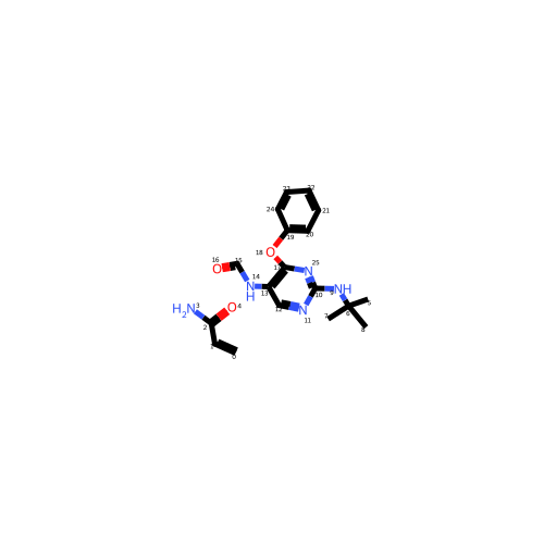 C=CC(N)=O.CC(C)(C)Nc1ncc(NC=O)c(Oc2ccccc2)n1